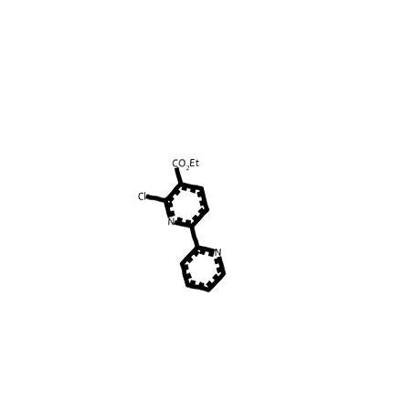 CCOC(=O)c1ccc(-c2ccccn2)nc1Cl